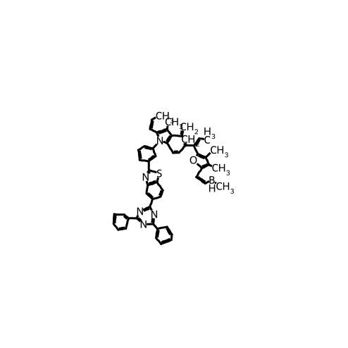 C=Cc1c(C)c(/C=C\C)n(-c2cccc(-c3nc4cc(-c5nc(-c6ccccc6)nc(-c6ccccc6)n5)ccc4s3)c2)c1/C=C\C(=C)/C(=C/C)c1oc(/C=C\BC)c(C)c1C